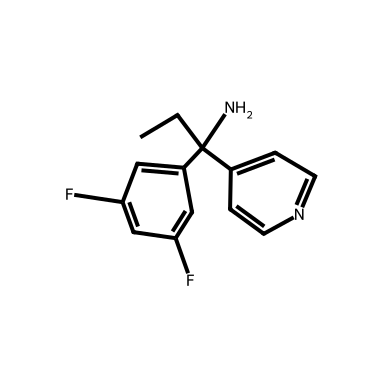 CCC(N)(c1ccncc1)c1cc(F)cc(F)c1